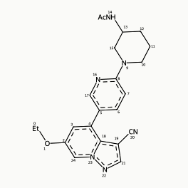 CCOc1cc(-c2ccc(N3CCCC(NC(C)=O)C3)nc2)c2c(C#N)cnn2c1